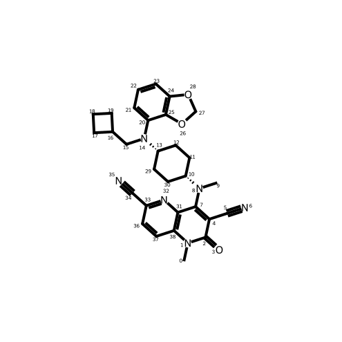 Cn1c(=O)c(C#N)c(N(C)[C@H]2CC[C@@H](N(CC3CCC3)c3cccc4c3OCO4)CC2)c2nc(C#N)ccc21